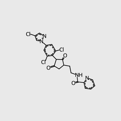 O=C(NCCC1CC(=O)C(c2c(Cl)cc(-n3cc(Cl)cn3)cc2Cl)C1=O)c1ccccn1